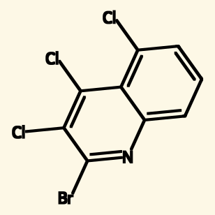 Clc1c(Br)nc2cccc(Cl)c2c1Cl